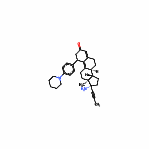 CC#C[C@]1(N)CC[C@H]2[C@@H]3CCC4=CC(=O)CC(c5ccc(N6CCCCC6)cc5)C4=C3CC[C@@]21C